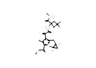 CNC(=O)C1(NC(=O)C(=O)c2c(C)c(C(=O)OC)n3c2C[C@H]2C[C@H]23)CC(F)(F)C1